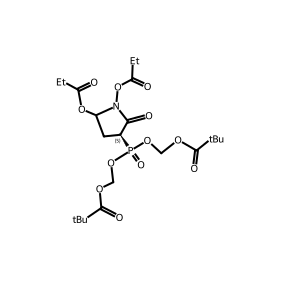 CCC(=O)OC1C[C@H](P(=O)(OCOC(=O)C(C)(C)C)OCOC(=O)C(C)(C)C)C(=O)N1OC(=O)CC